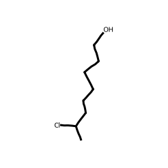 CC(Cl)CCCCCCO